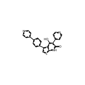 O=c1[nH]c2scc(-c3ccc(-c4ccncc4)cc3)c2c(O)c1-c1ccncc1